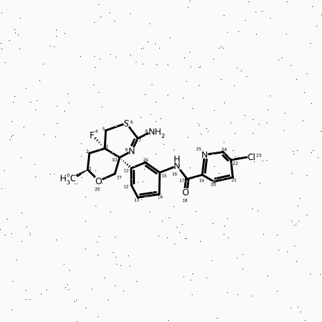 C[C@H]1C[C@@]2(F)CSC(N)=N[C@@]2(c2cccc(NC(=O)c3ccc(Cl)cn3)c2)CO1